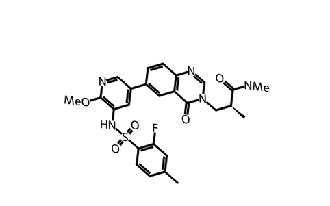 CNC(=O)[C@@H](C)Cn1cnc2ccc(-c3cnc(OC)c(NS(=O)(=O)c4ccc(C)cc4F)c3)cc2c1=O